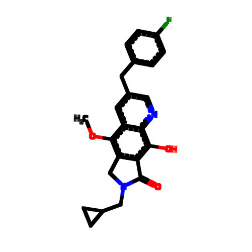 COc1c2c(c(O)c3ncc(Cc4ccc(F)cc4)cc13)C(=O)N(CC1CC1)C2